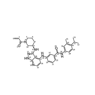 C=CC(=O)N1CCC[C@@H](Nc2n[nH]c3nccc(Nc4cccc(C(=O)Nc5ccc(C(C)C)c(C)c5)c4)c23)C1